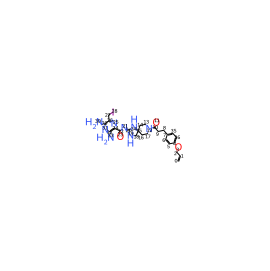 C=CCOc1ccc(CCC(=O)N2CCC3(CC2)CN/C(=N\C(=O)c2nc(CI)c(N)nc2N)N3)cc1